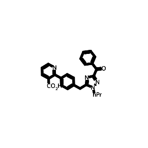 CCCn1nc(C(=O)c2ccccc2)nc1Cc1ccc(-c2ncccc2C(=O)O)cc1